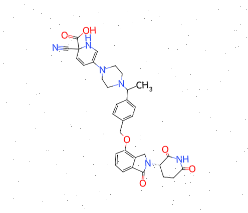 CC(c1ccc(COc2cccc3c2CN([C@H]2CCC(=O)NC2=O)C3=O)cc1)N1CCN(C2=CNC(C#N)(C(=O)O)C=C2)CC1